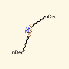 CCCCCCCCCCCCCCCCC=CSc1nnc(SC=CCCCCCCCCCCCCCCCC)s1